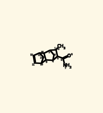 CC1C2CC(C1C(N)=O)C1C3C=CC(C3)C21